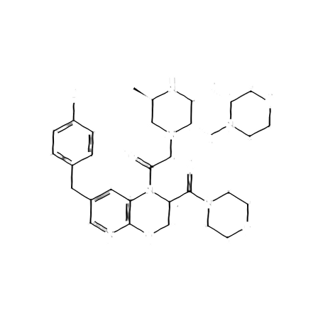 C[C@@H]1CN(CC(=O)N2c3cc(Cc4ccc(F)cc4)cnc3OCC2C(=O)N2CCOCC2)[C@@H](CN2CCOC[C@H]2C)CN1